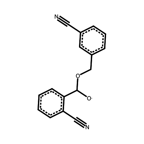 N#Cc1cccc(COC([O])c2ccccc2C#N)c1